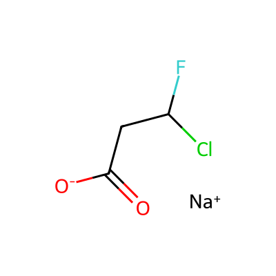 O=C([O-])CC(F)Cl.[Na+]